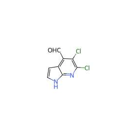 O=Cc1c(Cl)c(Cl)nc2[nH]ccc12